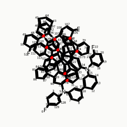 Fc1ccc(N(c2cccc(-c3cccc(N(c4cccc(F)c4)c4cc5c(c6ccccc46)-c4c(c6ccc(N(c7ccccc7)c7cccc(F)c7)cc6c6ccccc46)C54c5ccccc5-c5ccccc54)c3)c2)c2ccc3c4c(c5ccccc5c3c2)-c2c(cc(N(c3ccccc3)c3ccc(F)cc3)c3ccccc23)C42c3ccccc3-c3ccccc32)cc1